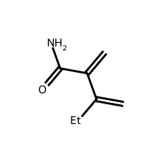 C=C(CC)C(=C)C(N)=O